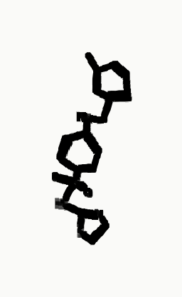 Cc1cccc(CNc2ccc(S(=O)(=O)Nc3nccs3)cc2)c1